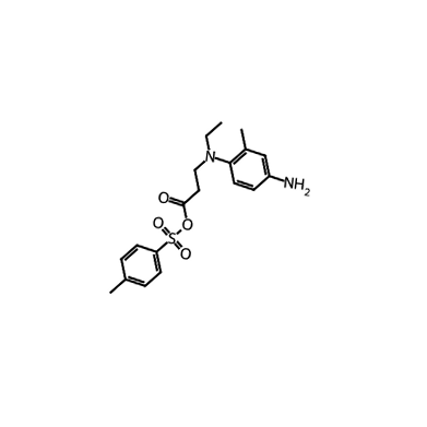 CCN(CCC(=O)OS(=O)(=O)c1ccc(C)cc1)c1ccc(N)cc1C